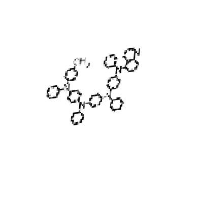 Cc1ccc(N(c2ccccc2)c2ccc(N(c3ccccc3)c3ccc(N(c4ccccc4)c4ccc(N(c5ccccc5)c5cccc6ncccc56)cc4)cc3)cc2)cc1